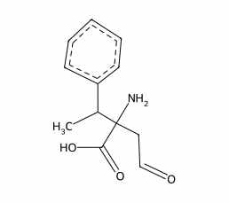 CC(c1ccccc1)C(N)(CC=O)C(=O)O